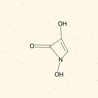 O=C1C(O)=CN1O